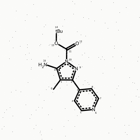 Cc1c(-c2ccncc2)nn(C(=O)OC(C)(C)C)c1N